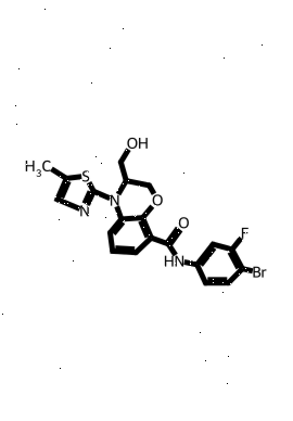 Cc1cnc(N2c3cccc(C(=O)Nc4ccc(Br)c(F)c4)c3OCC2CO)s1